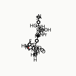 Cc1ncsc1-c1ccc(C(CO)NC(=O)[C@@H]2C[C@@H](O)CN2C(=O)C(C(C)C)n2cc(-c3ccc(COc4c(-c5c(C)c(F)cc6[nH]ncc56)c(C5CC5)nc5c(N6C[C@@H]7C[C@H]6CN7)nc(OC6CCOCC6)nc45)cc3)nn2)cc1